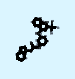 O=C(Cn1ccc2ccccc21)N[C@@H]1CCC[C@H](Nc2cc(C(F)(F)F)nc3ccccc23)C1